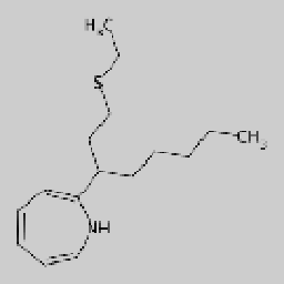 CCCCCC(CCSCC)C1=CC=CC=CN1